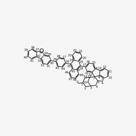 CC1CC2CC(C)C3(c4ccccc4-c4ccc(-c5c6ccccc6c(-c6ccc(-c7ccc8c(c7)oc7ccccc78)cc6)c6ccccc56)cc43)C(C1)C2